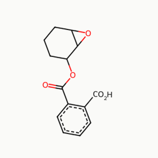 O=C(O)c1ccccc1C(=O)OC1CCCC2OC12